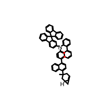 CC1(c2ccc(-c3c#cc(N(c4ccc5c(c4)C4(c6ccccc6-c6ccccc64)c4ccccc4-5)c4ccccc4C4=CC=CCC4)cc3)c3ccccc23)CC=C2C[C@@H]2C1